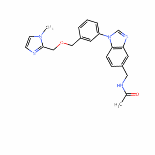 CC(=O)NCc1ccc2c(c1)ncn2-c1cccc(COCc2nccn2C)c1